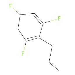 CCCC1=C(F)CC(F)C=C1F